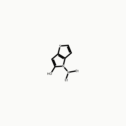 CCN(CC)n1c(O)cc2sccc21